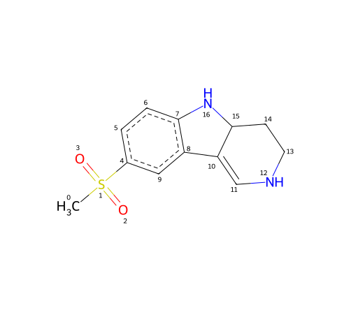 CS(=O)(=O)c1ccc2c(c1)C1=CNCCC1N2